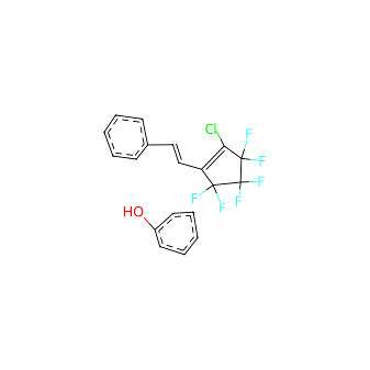 FC1(F)C(Cl)=C(C=Cc2ccccc2)C(F)(F)C1(F)F.Oc1ccccc1